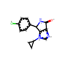 O=C1NC(c2ccc(Cl)cc2)c2c1ncn2C1CC1